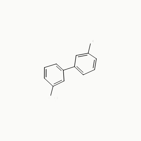 O=C(O)c1cccc(-c2cccc(O)c2)c1